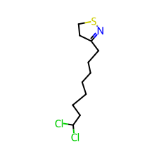 ClC(Cl)CCCCCCCC1=NSCC1